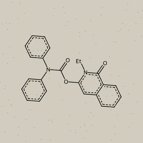 CCn1c(OC(=O)N(c2ccccc2)c2ccccc2)cc2ccccc2c1=O